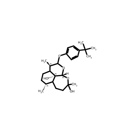 C[C@H]1C(Oc2ccc(C(C)(C)C)cc2)O[C@@H]2OC(C)(O)CCC3[C@H](C)CCC1[C@]32O